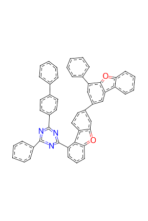 c1ccc(-c2ccc(-c3nc(-c4ccccc4)nc(-c4cccc5oc6cc(-c7cc(-c8ccccc8)c8oc9ccccc9c8c7)ccc6c45)n3)cc2)cc1